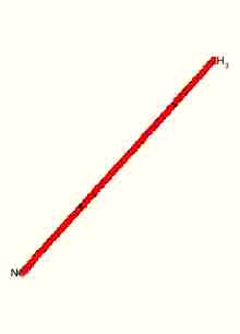 CC#CC#CC#CC#CC#CC#CC#CC#CC#CC#CC#CC#CC#CC#CC#CC#CC#CC#CC#CC#CC#CC#CC#CC#CC#CC#CC#CC#CC#CC#CC#CC#CC#CC#CC#CC#CC#CC#CC#CC#CC#CC#CC#CC#CC#CC#CC#CC#CC#CC#CC#CC#CC#N